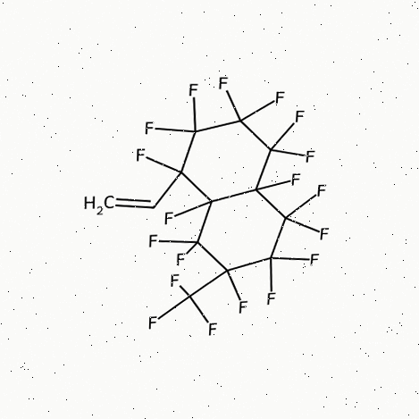 C=CC1(F)C(F)(F)C(F)(F)C(F)(F)C2(F)C(F)(F)C(F)(F)C(F)(C(F)(F)F)C(F)(F)C12F